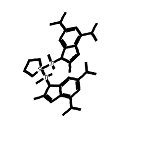 CC1=Cc2c(C(C)C)cc(C(C)C)cc2[CH]1[Ti]([CH3])([CH3])[Si]1([Ti]([CH3])([CH3])[CH]2C(C)=Cc3c(C(C)C)cc(C(C)C)cc32)CCCC1